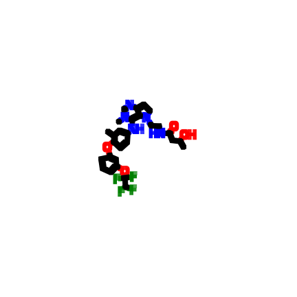 Cc1cc(NC2=C3C(=CCN3CCNC(=O)CC(C)O)N=CN2C)ccc1Oc1cccc(OC(F)(F)C(F)F)c1